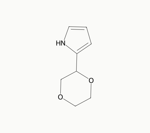 c1c[nH]c(C2COCCO2)c1